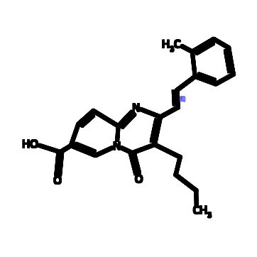 CCCCc1c(/C=C/c2ccccc2C)nc2ccc(C(=O)O)cn2c1=O